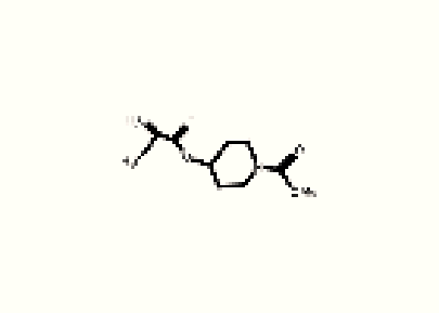 C=C(C)C(=O)OC1CCN(C(=O)OC)CC1